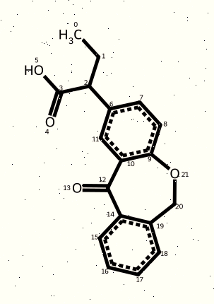 CCC(C(=O)O)c1ccc2c(c1)C(=O)c1ccccc1CO2